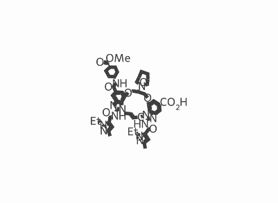 CCn1nc(C)cc1C(=O)Nc1nc2cc(C(=O)O)cc3c2n1C/C=C/Cn1c(NC(=O)c2cc(C)nn2CC)nc2cc(C(=O)N[C@H]4CC[C@H](C(=O)OC)CC4)cc(c21)OCC(N1CC2CCC(C1)O2)CO3